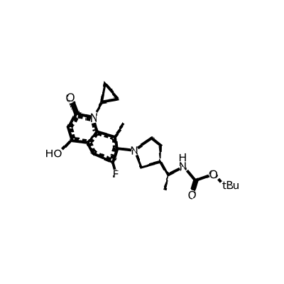 Cc1c(N2CC[C@@H]([C@H](C)NC(=O)OC(C)(C)C)C2)c(F)cc2c(O)cc(=O)n(C3CC3)c12